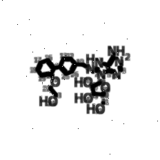 Nc1ncnc2c1nc(NCc1ccc(-c3ccccc3OCCO)cc1)n2[C@@H]1O[C@H](CO)[C@@H](O)[C@H]1O